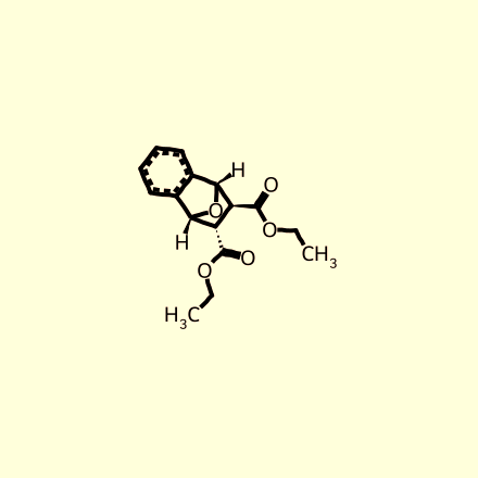 CCOC(=O)[C@H]1[C@H](C(=O)OCC)[C@H]2O[C@@H]1c1ccccc12